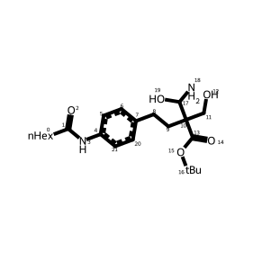 CCCCCCC(=O)Nc1ccc(CCC(CO)(C(=O)OC(C)(C)C)C(N)O)cc1